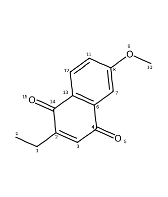 CCC1=CC(=O)c2cc(OC)ccc2C1=O